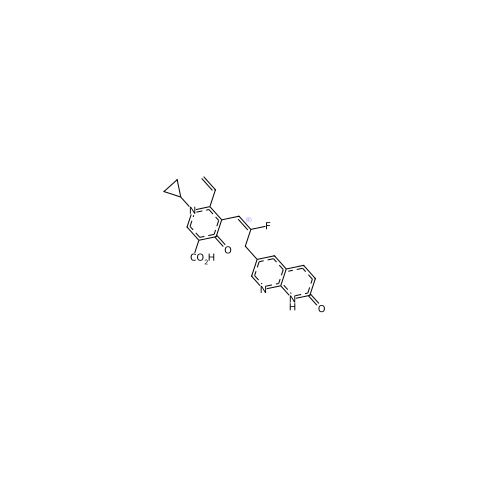 C=Cc1c(/C=C(/F)Cc2cnc3[nH]c(=O)ccc3c2)c(=O)c(C(=O)O)cn1C1CC1